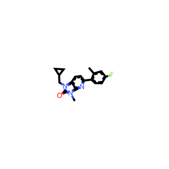 Cc1cc(F)ccc1-c1ccc2c(n1)n(C)c(=O)n2CC1CC1